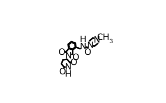 CN1CCN(C(=O)NCc2cccc3c2C(=O)N(C2CCC(=O)NC2=O)C3=O)CC1